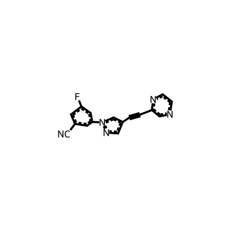 N#Cc1cc(F)cc(-n2cc(C#Cc3cnccn3)cn2)c1